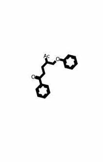 CC(=O)C(CCC(=O)c1ccccc1)COc1ccccc1